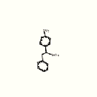 COc1ccc(C(S)Cc2ccccc2)cc1.Cl